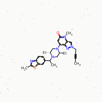 CC#CCn1cc2c(n1)c(N1C[C@@H](CC)N(C(C)c3ccc4nc(C)sc4c3)C[C@@H]1CC)cc(=O)n2C